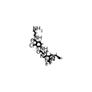 C#CCn1cc(-c2cnc(C(=O)Nc3ccc(C(=O)NCCCN)c(Cl)c3)n2C)c(C(F)(F)F)n1